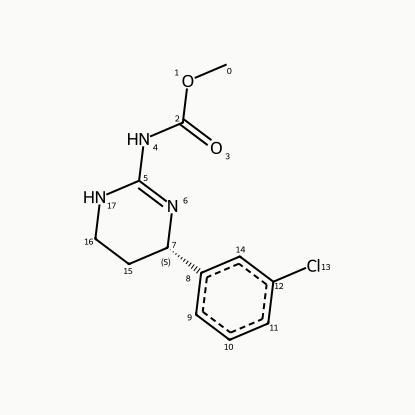 COC(=O)NC1=N[C@H](c2cccc(Cl)c2)CCN1